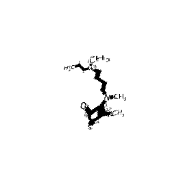 CCCN(C)CCCCN(C)c1c(C)c(=S)c1=O